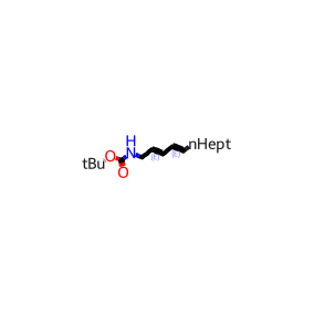 CCCCCCC/C=C/C=C/CNC(=O)OC(C)(C)C